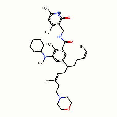 CC/C=C\CCC(C/C=C(/CC)CCN1CCOCC1)c1cc(C(=O)NCc2c(C)cc(C)[nH]c2=O)c(C)c(N(C)C2CCCCC2)c1